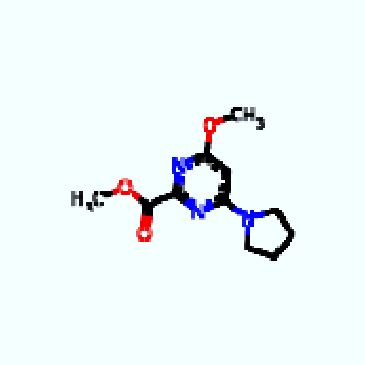 COC(=O)c1nc(OC)cc(N2CCCC2)n1